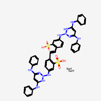 O=S(=O)(O)c1cc(NN2N=C(Nc3ccccc3)C=C(Nc3ccccc3)N2)ccc1/C=C/c1ccc(NN2N=C(Nc3ccccc3)C=C(Nc3ccccc3)N2)cc1S(=O)(=O)O.[NaH].[NaH]